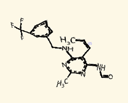 C/C=C\c1c(NC=O)nc(C)nc1NCc1cccc(C(F)(F)F)c1